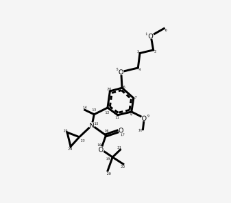 COCCCOc1cc(OC)cc(C(C)N(C(=O)OC(C)(C)C)C2CC2)c1